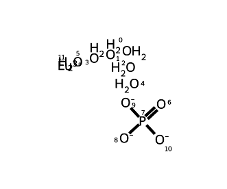 O.O.O.O.O.O.O=P([O-])([O-])[O-].[Eu+3]